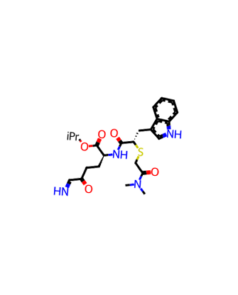 CC(C)OC(=O)[C@H](CCC(=O)C=N)NC(=O)[C@H](Cc1c[nH]c2ccccc12)SCC(=O)N(C)C